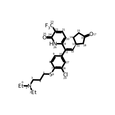 CCN(CC)CCCSc1ccc(C(=C[C@H]2CCC(=O)C2)c2ccc(C(F)(F)F)c(=O)[nH]2)cc1Cl